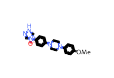 COc1ccc(N2CCN(c3ccc([N+]4([O-])C=NNC4)cc3)CC2)cc1